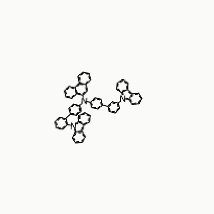 c1cc(-c2ccc(N(c3ccc(-c4ccccc4-n4c5ccccc5c5ccccc54)cc3)c3cc4ccccc4c4ccccc34)cc2)cc(-n2c3ccccc3c3ccccc32)c1